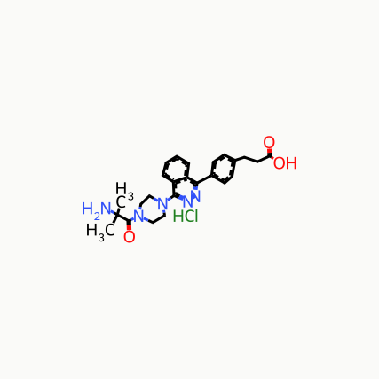 CC(C)(N)C(=O)N1CCN(c2nnc(-c3ccc(CCC(=O)O)cc3)c3ccccc23)CC1.Cl